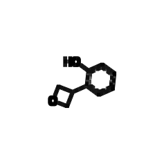 Oc1ccccc1C1COC1